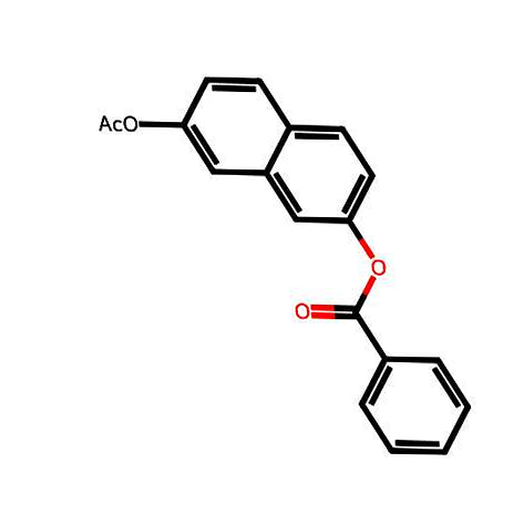 CC(=O)Oc1ccc2ccc(OC(=O)c3ccccc3)cc2c1